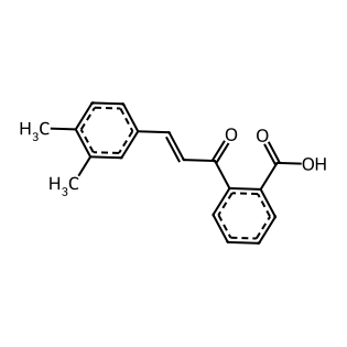 Cc1ccc(C=CC(=O)c2ccccc2C(=O)O)cc1C